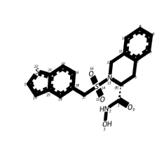 O=C(NO)[C@H]1Cc2ccccc2CN1S(=O)(=O)Cc1ccc2sccc2c1